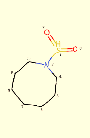 O=[SH](=O)N1CCCCCCC1